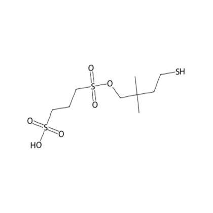 CC(C)(CCS)COS(=O)(=O)CCCS(=O)(=O)O